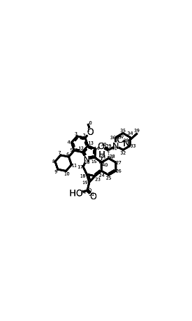 COc1ccc(C2CCCCC2)c2c1cc1n2CC2=C(C(=O)O)C2=C2C=CC[C@@H](C(=O)N3CC4CCC3CN4C)[C@@H]21